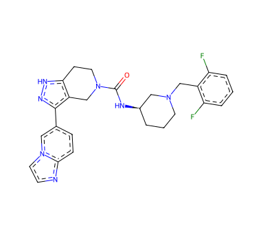 O=C(N[C@@H]1CCCN(Cc2c(F)cccc2F)C1)N1CCc2[nH]nc(-c3ccc4nccn4c3)c2C1